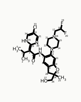 CC(C)/C(C(=O)Nc1cc2c(cc1N1CCN(CC(F)F)CC1)OC(C)(CO)C2)=C1/N=CC(Cl)=CN1